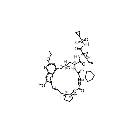 C=C[C@@H]1C[C@]1(NC(=O)[C@@H]1C[C@@H]2CN1C(=O)[C@H](C1CCCCC1)NC(=O)O[C@@H]1CCC[C@@H]1C/C=C/c1cc3c(cc(OCC)nc3cc1OC)O2)C(=O)NS(=O)(=O)C1CC1